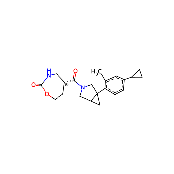 Cc1cc(C2CC2)ccc1C12CC1CN(C(=O)[C@@H]1CCOC(=O)NC1)C2